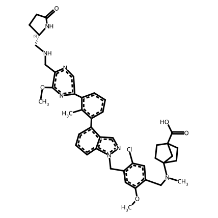 COc1cc(Cn2ncc3c(-c4cccc(-c5cnc(CNC[C@@H]6CCC(=O)N6)c(OC)n5)c4C)cccc32)c(Cl)cc1CN(C)C12CCC(C(=O)O)(CC1)C2